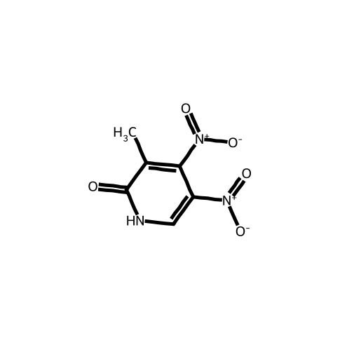 Cc1c([N+](=O)[O-])c([N+](=O)[O-])c[nH]c1=O